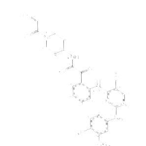 C=CC(=O)N1CCC(NC(=O)C(=O)c2ccccc2Nc2nc(Nc3ccc(F)c(OC)c3)ncc2Cl)CC1